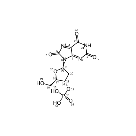 O=C1N=C2C(=NC(=O)N2[C@H]2C[C@H](OP(=O)(O)O)[C@@H](CO)O2)C(=O)N1